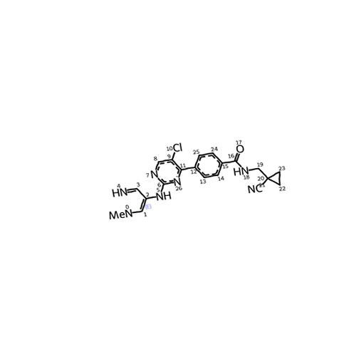 CN/C=C(\C=N)Nc1ncc(Cl)c(-c2ccc(C(=O)NCC3(C#N)CC3)cc2)n1